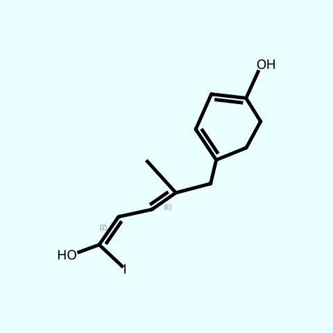 C/C(=C\C=C(\O)I)CC1=CC=C(O)CC1